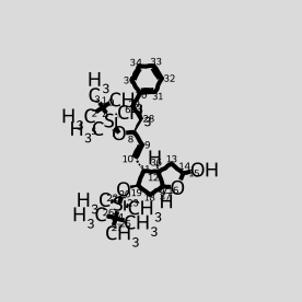 CC(C)(C)[Si](C)(C)O[C@H](C=C[C@@H]1[C@H]2CC(O)O[C@H]2C[C@H]1O[Si](C)(C)C(C)(C)C)CCc1ccccc1